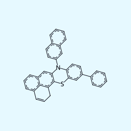 C1=Cc2cccc3cc4c(c(c23)C1)Sc1cc(-c2ccccc2)ccc1N4c1ccc2ccccc2c1